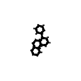 [c]1ccc2ccc3c(-c4ccccc4)cccc3c2c1